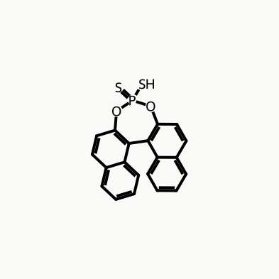 S=P1(S)Oc2ccc3ccccc3c2-c2c(ccc3ccccc23)O1